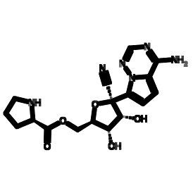 N#C[C@@]1(c2ccc3c(N)ncnn23)O[C@H](COC(=O)[C@H]2CCCN2)[C@@H](O)[C@H]1O